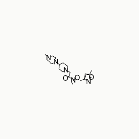 Cc1cc(CON(C)C(=O)CN2CCC(N3CCN(C)CC3)CC2)no1